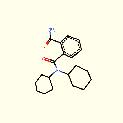 NC(=O)c1ccccc1C(=O)N(C1CCCCC1)C1CCCCC1